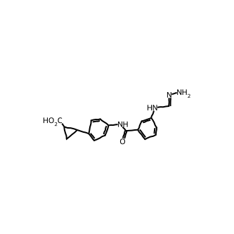 NN=CNc1cccc(C(=O)Nc2ccc(C3CC3C(=O)O)cc2)c1